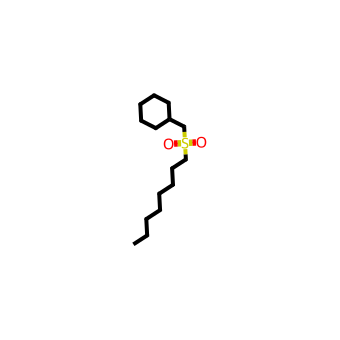 CCCCCCCCS(=O)(=O)CC1CCCCC1